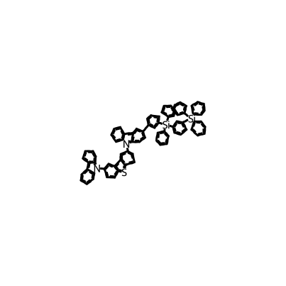 c1ccc([Si](c2ccccc2)(c2ccccc2)c2cccc([Si](c3ccccc3)(c3ccccc3)c3cccc(-c4ccc5c(c4)c4ccccc4n5-c4ccc5sc6ccc(-n7c8ccccc8c8ccccc87)cc6c5c4)c3)c2)cc1